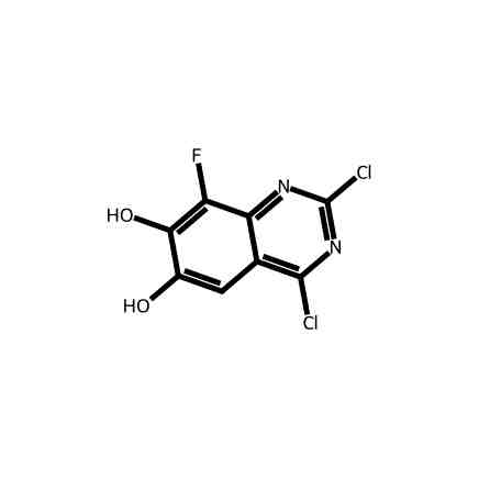 Oc1cc2c(Cl)nc(Cl)nc2c(F)c1O